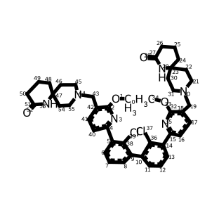 COc1nc(-c2cccc(-c3cccc(-c4ccc(CN5CCC6(CCCC(=O)N6)CC5)c(OC)n4)c3Cl)c2Cl)ccc1CN1CCC2(CCCC(=O)N2)CC1